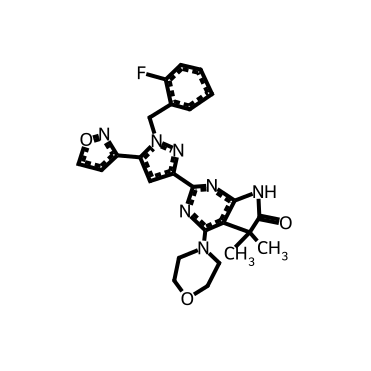 CC1(C)C(=O)Nc2nc(-c3cc(-c4ccon4)n(Cc4ccccc4F)n3)nc(N3CCOCC3)c21